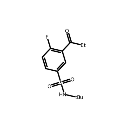 CCC(=O)c1cc(S(=O)(=O)NC(C)(C)C)ccc1F